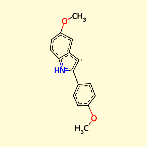 COc1ccc(-c2[c]c3cc(OC)ccc3[nH]2)cc1